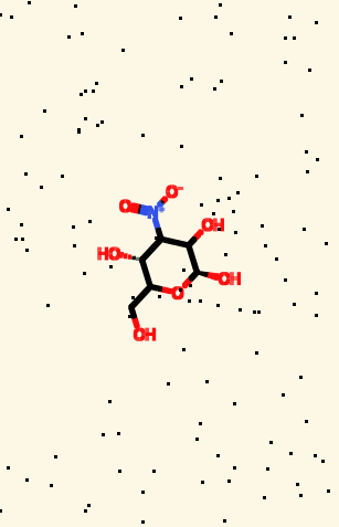 O=[N+]([O-])C1C(O)[C@@H](O)OC(CO)[C@@H]1O